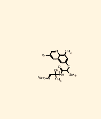 CO/N=C/C(C)(C)NC(=O)C(Oc1cc(C)c2ncc(Br)cc2c1)SC